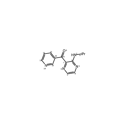 CC(C)Nc1nccnc1C(=O)c1cccnc1